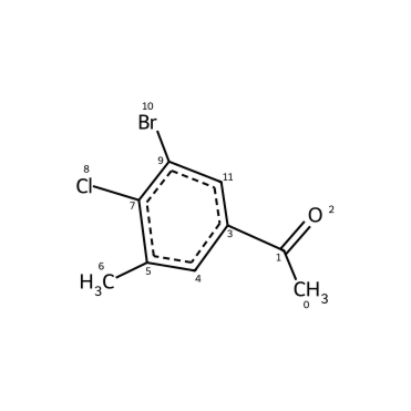 CC(=O)c1cc(C)c(Cl)c(Br)c1